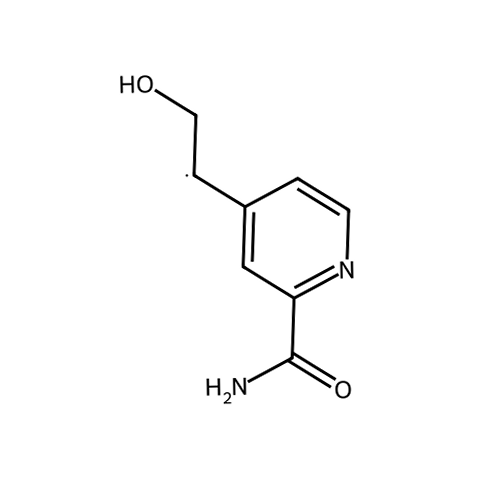 NC(=O)c1cc([CH]CO)ccn1